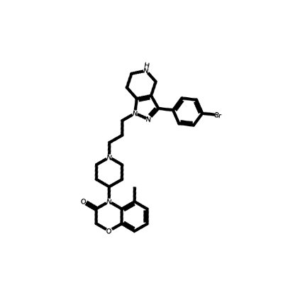 Cc1cccc2c1N(C1CCN(CCCn3nc(-c4ccc(Br)cc4)c4c3CCNC4)CC1)C(=O)CO2